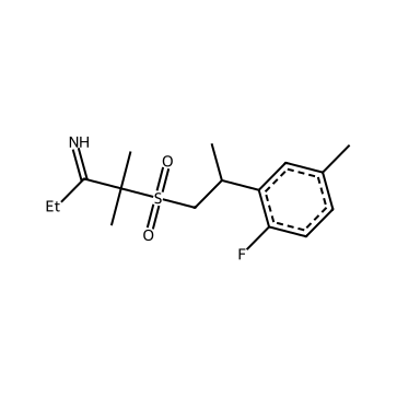 CCC(=N)C(C)(C)S(=O)(=O)CC(C)c1cc(C)ccc1F